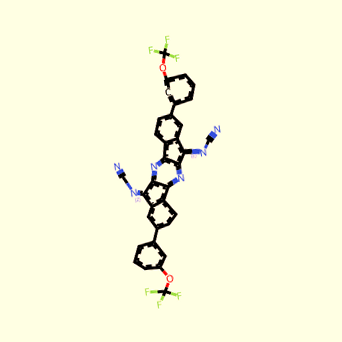 N#C/N=c1/c2cc(-c3cccc(OC(F)(F)F)c3)ccc2c2nc3/c(=N/C#N)c4cc(-c5cccc(OC(F)(F)F)c5)ccc4c3nc12